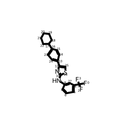 FC(F)(F)c1cccc(Nc2nc(-c3ccc(C4CC[CH]CC4)cc3)cs2)c1